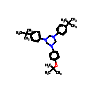 CC(C)(C)Oc1ccc(N2CN(c3ccc(C(C)(C)C)cc3)CN(c3ccc(C(C)(C)C)cc3)C2)cc1